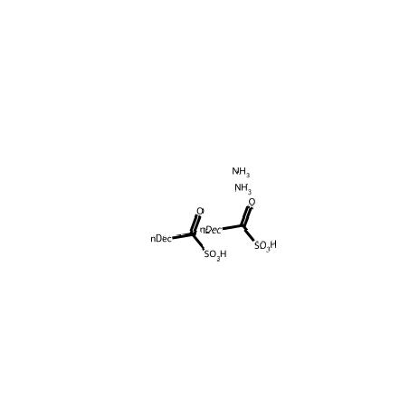 CCCCCCCCCCC(=O)S(=O)(=O)O.CCCCCCCCCCC(=O)S(=O)(=O)O.N.N